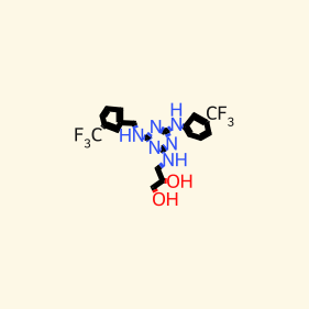 OCC(O)CNc1nc(NCc2cccc(C(F)(F)F)c2)nc(Nc2cccc(C(F)(F)F)c2)n1